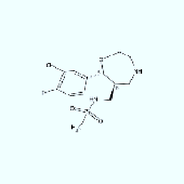 CS(=O)(=O)NC[C@@H]1CNCCO[C@H]1c1ccc(F)c(Cl)c1